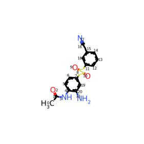 CC(=O)Nc1ccc(S(=O)(=O)c2cccc(C#N)c2)cc1N